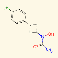 NC(=O)N(O)[C@H]1C[C@H](c2ccc(Br)cc2)C1